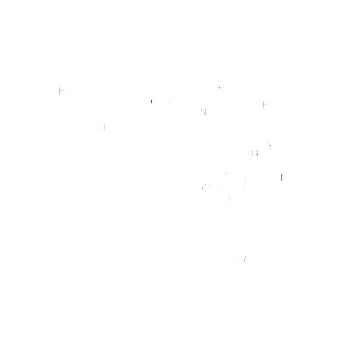 COc1ccc(C23CCC(CN(C(=O)C4CCC(OC(=O)NCCCO)CC4)c4cc(-c5cnn(C(C)C)c5)c(F)cn4)(CC2)CC3)cc1C